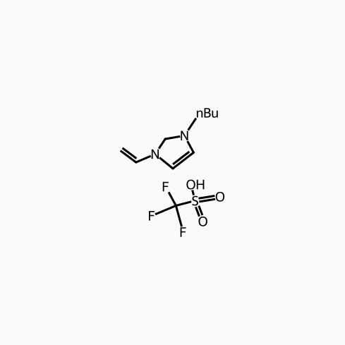 C=CN1C=CN(CCCC)C1.O=S(=O)(O)C(F)(F)F